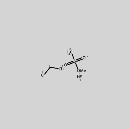 COS(C)(=O)=O.ClCCl.F